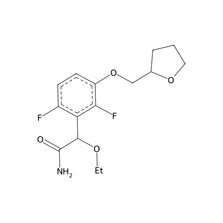 CCOC(C(N)=O)c1c(F)ccc(OCC2CCCO2)c1F